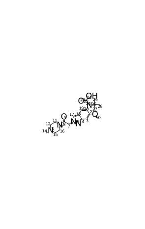 COc1cc2nn(CC(=O)N3CCN(C)CC3)cc2cc1N(C(=O)O)C(C)(C)C